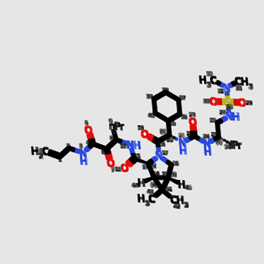 C=CCNC(=O)C(=O)C(CCC)NC(=O)[C@@H]1[C@@H]2[C@H](CN1C(=O)[C@@H](NC(=O)N[C@H](CNS(=O)(=O)N(C)C)C(C)C)C1CCCCC1)C2(C)C